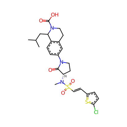 CC(C)CC1c2ccc(N3CC[C@H](N(C)S(=O)(=O)C=Cc4ccc(Cl)s4)C3=O)cc2CCN1C(=O)O